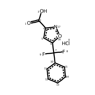 Cl.O=C(O)c1cc(C(F)(F)c2ccccc2)on1